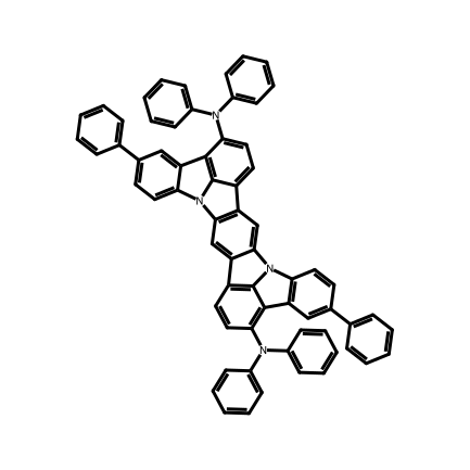 c1ccc(-c2ccc3c(c2)c2c(N(c4ccccc4)c4ccccc4)ccc4c5cc6c(cc5n3c42)c2ccc(N(c3ccccc3)c3ccccc3)c3c4cc(-c5ccccc5)ccc4n6c23)cc1